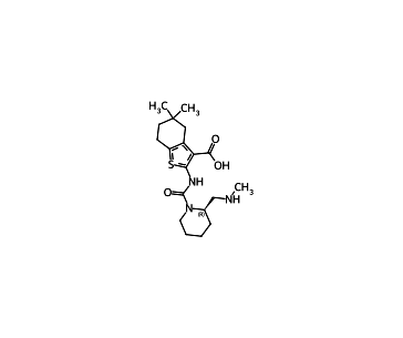 CNC[C@H]1CCCCN1C(=O)Nc1sc2c(c1C(=O)O)CC(C)(C)CC2